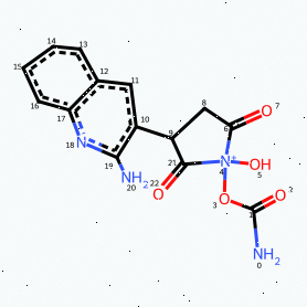 NC(=O)O[N+]1(O)C(=O)CC(c2cc3ccccc3nc2N)C1=O